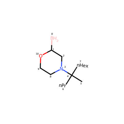 BC1CN(C(C)(CCC)CCCCCC)CCO1